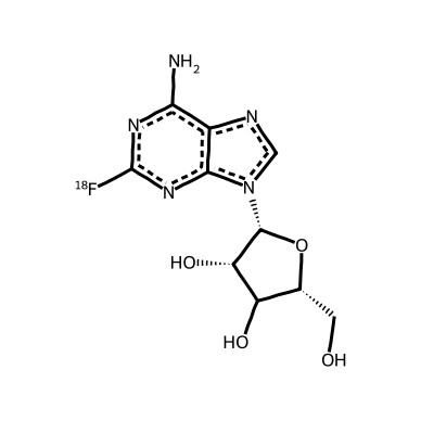 Nc1nc([18F])nc2c1ncn2[C@@H]1O[C@H](CO)C(O)[C@@H]1O